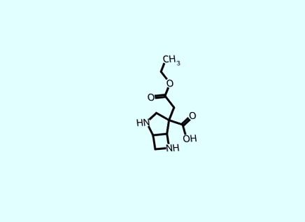 CCOC(=O)CC1(C(=O)O)CNC2CNC21